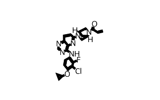 C=CC(=O)N1C[C@@H]2C[C@H]1CN2c1ccc2ncnc(Nc3ccc(OC4CC4)c(Cl)c3F)c2n1